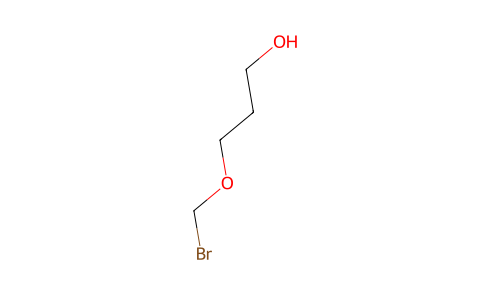 OCCCOCBr